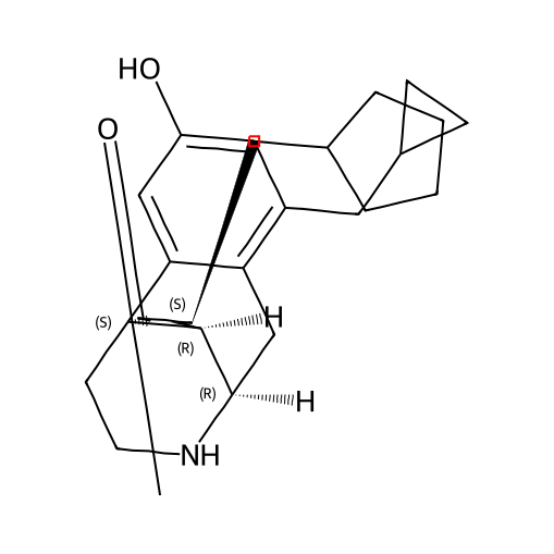 O=C1C[C@]23CCN[C@H](Cc4c(CC5CC5)cc(O)cc42)[C@@H]3C[C@@H]1CC1CCCC1